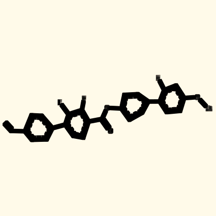 C=Cc1ccc(-c2ccc(C(=O)Oc3ccc(-c4ccc(OCC)cc4F)cc3)c(F)c2F)cc1